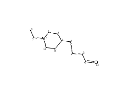 CCN1CCC(CCCC=O)CC1